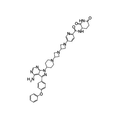 Nc1ncnc2c1c(-c1ccc(Oc3ccccc3)cc1)nn2C1CCN(C2CN(C3CN(c4ccc(C(=O)NC5CCC(=O)NC5=O)nc4)C3)C2)CC1